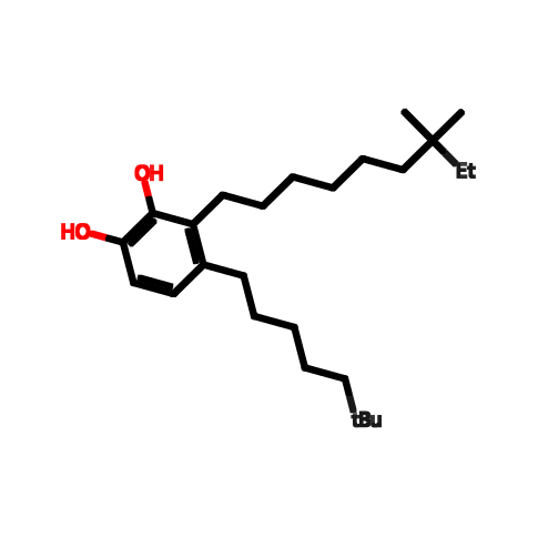 CCC(C)(C)CCCCCCc1c(CCCCCC(C)(C)C)ccc(O)c1O